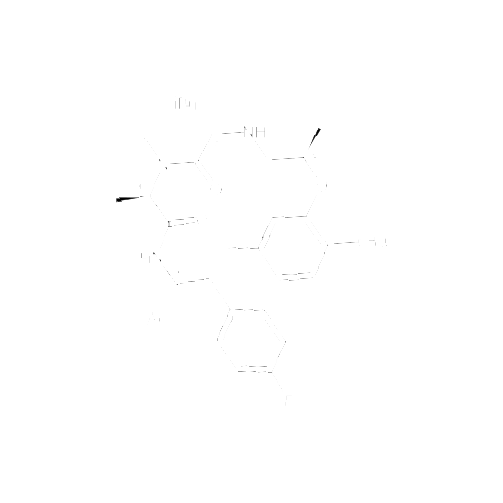 CCCCc1ccc(F)cc1O[C@H](C)CN[C@H](C(=O)N(C)[C@H](C)C(=O)N[C@H](Cc1ccc(F)cc1)C(C)=O)C(C)CC